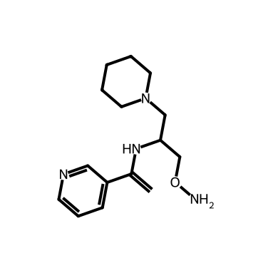 C=C(NC(CON)CN1CCCCC1)c1cccnc1